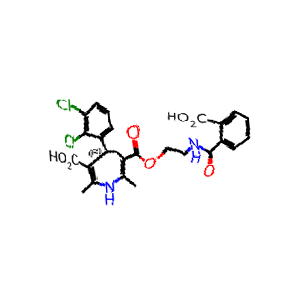 CC1=C(C(=O)O)[C@@H](c2cccc(Cl)c2Cl)C(C(=O)OCCNC(=O)c2ccccc2C(=O)O)=C(C)N1